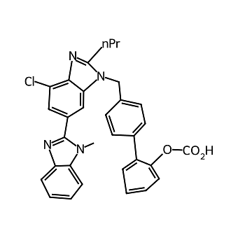 CCCc1nc2c(Cl)cc(-c3nc4ccccc4n3C)cc2n1Cc1ccc(-c2ccccc2OC(=O)O)cc1